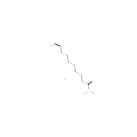 CC(=O)O.CCCCCCCC/C=C\CCCCCCCC(=O)N(C)C